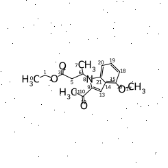 CCOC(=O)CC(C)n1c(C(C)=O)cc2c(OC)cccc21